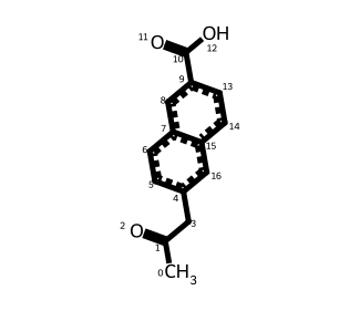 CC(=O)Cc1ccc2cc(C(=O)O)ccc2c1